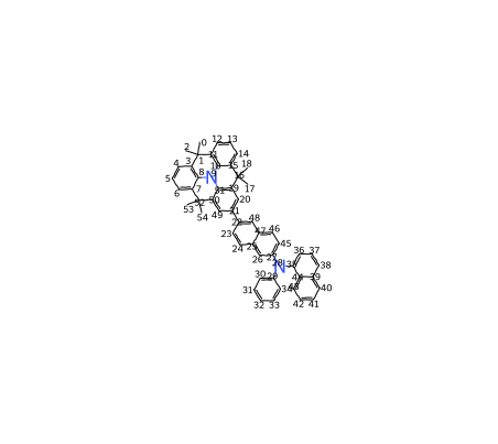 CC1(C)c2cccc3c2N2c4c1cccc4C(C)(C)c1cc(-c4ccc5cc(N(c6ccccc6)c6cccc7ccccc67)ccc5c4)cc(c12)C3(C)C